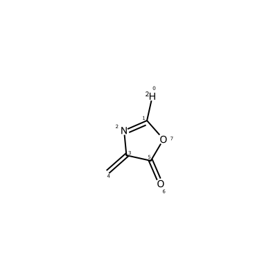 [2H]C1=NC(=C)C(=O)O1